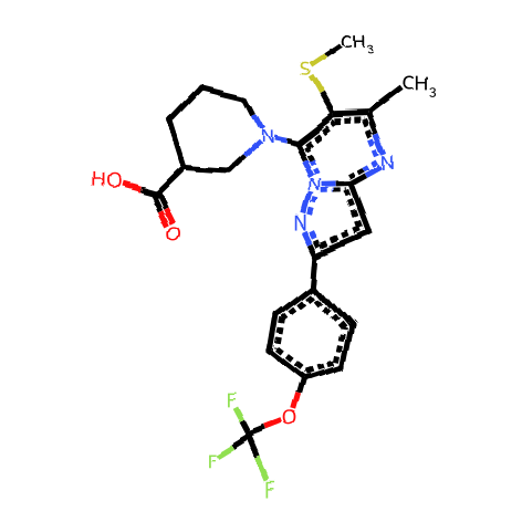 CSc1c(C)nc2cc(-c3ccc(OC(F)(F)F)cc3)nn2c1N1CCCC(C(=O)O)C1